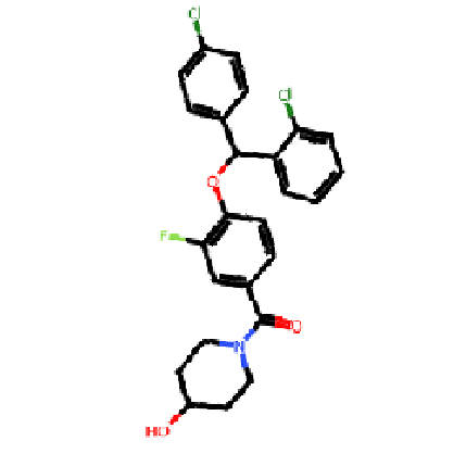 O=C(c1ccc(OC(c2ccc(Cl)cc2)c2ccccc2Cl)c(F)c1)N1CCC(O)CC1